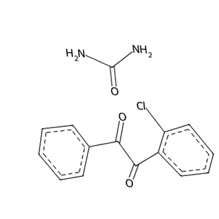 NC(N)=O.O=C(C(=O)c1ccccc1Cl)c1ccccc1